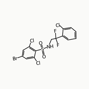 O=S(=O)(NCC(F)(F)c1ccccc1Cl)c1c(Cl)cc(Br)cc1Cl